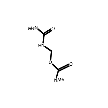 CNC(=O)NCOC(=O)NC